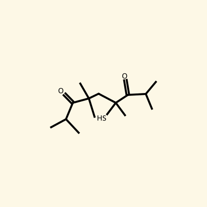 CC(C)C(=O)C(C)(C)CC(C)(S)C(=O)C(C)C